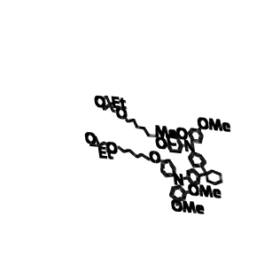 CCC1(COCCCCCCOc2ccc(N(c3ccc(C4(c5ccc(N(c6ccc(OCCCCCCOCC7(CC)COC7)cc6)c6ccc(OC)cc6OC)cc5)CCCCC4)cc3)c3ccc(OC)cc3OC)cc2)COC1